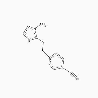 Cn1ccnc1CCc1ccc(C#N)cc1